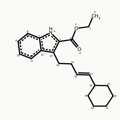 CCOC(=O)c1[nH]c2ccccc2c1CCC=CC1CCCCC1